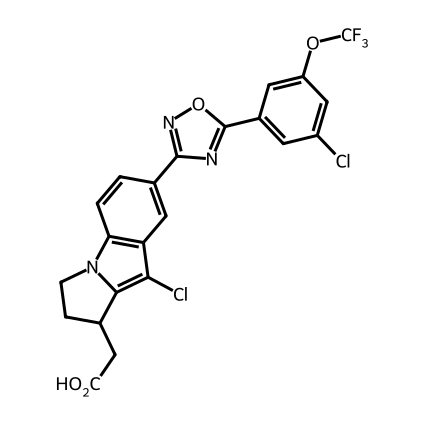 O=C(O)CC1CCn2c1c(Cl)c1cc(-c3noc(-c4cc(Cl)cc(OC(F)(F)F)c4)n3)ccc12